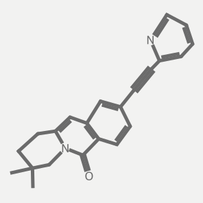 CC1(C)CCc2cc3cc(C#Cc4ccccn4)ccc3c(=O)n2C1